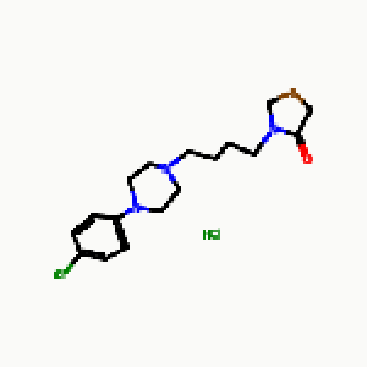 Cl.O=C1CSCN1CCCCN1CCN(c2ccc(Cl)cc2)CC1